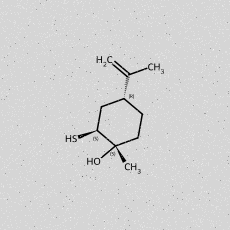 C=C(C)[C@@H]1CC[C@](C)(O)[C@@H](S)C1